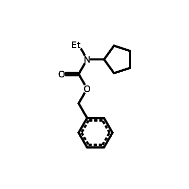 [CH2]CN(C(=O)OCc1ccccc1)C1CCCC1